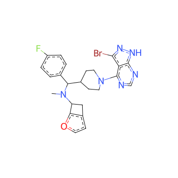 CN(C1Cc2ccoc21)C(c1ccc(F)cc1)C1CCN(c2ncnc3[nH]nc(Br)c23)CC1